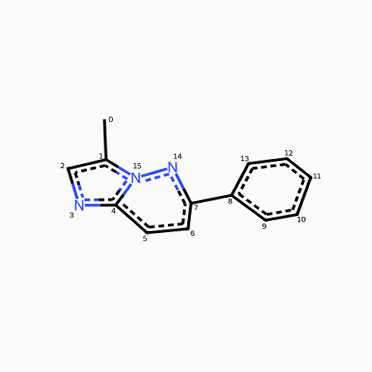 Cc1cnc2ccc(-c3ccccc3)nn12